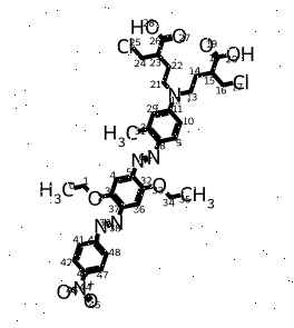 CCOc1cc(N=Nc2ccc(N(CCC(CCl)C(=O)O)CCC(CCl)C(=O)O)cc2C)c(OCC)cc1N=Nc1ccc([N+](=O)[O-])cc1